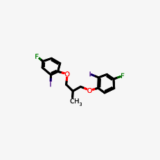 CC(COc1ccc(F)cc1I)COc1ccc(F)cc1I